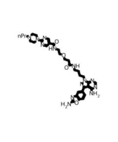 CCCN1CCN(c2ncc(C(=O)NCCOCCC(=O)NCCCCn3nc(-c4ccc5oc(N)nc5c4)c4c(N)ncnc43)cn2)CC1